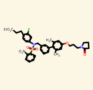 CCOC(=O)CCc1ccc(N(Cc2cccc(-c3c(C)cc(OCCCN4CCCC4=O)cc3C)c2)S(=O)(=O)c2ccccc2[N+](=O)[O-])cc1F